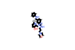 Cc1ccc(O)c(Cn2c(NCCCN3CCOCC3)nc3ccc(CNc4ccccc4)cc32)n1